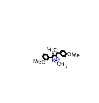 COc1ccc(C(C)c2cc(-c3cccc(OC)c3)nc(C)n2)cc1